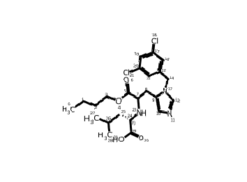 CCCCOC(=O)C(Cc1cncn1Cc1cc(Cl)cc(Cl)c1)N[C@@H](CC(C)C)C(=O)O